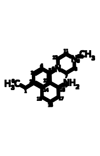 CCc1ccc(N2CCN(C)CC2)c2c1CCCC2N